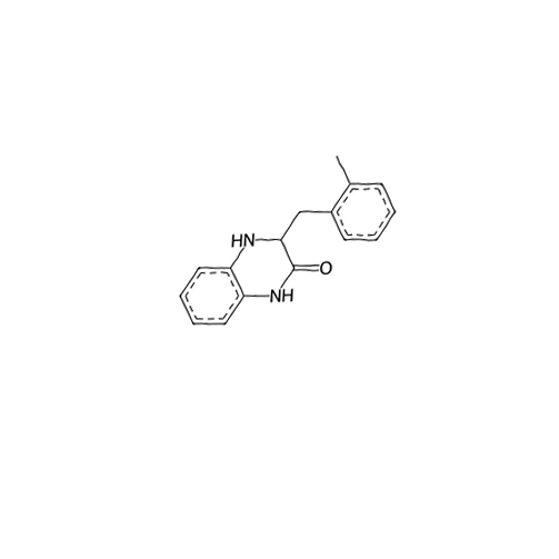 Cc1ccccc1CC1Nc2ccccc2NC1=O